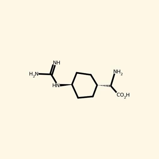 N=C(N)N[C@H]1CC[C@H](C(N)C(=O)O)CC1